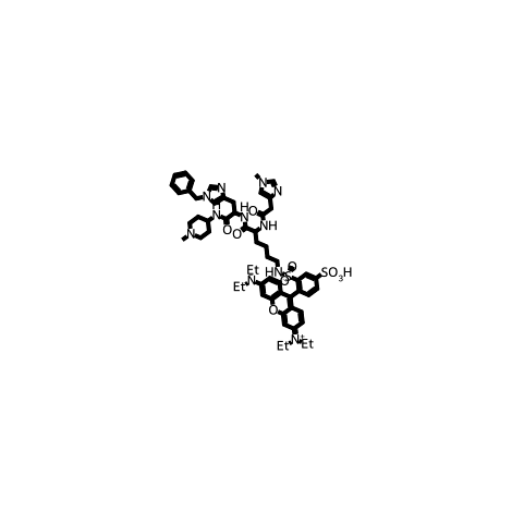 CCN(CC)c1ccc2c(-c3ccc(S(=O)(=O)O)cc3S(=O)(=O)NCCCCC(NC(=O)Cc3cn(C)cn3)C(=O)NC(Cc3cn(Cc4ccccc4)cn3)C(=O)NC3CCN(C)CC3)c3ccc(=[N+](CC)CC)cc-3oc2c1